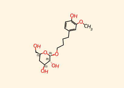 COc1cc(CCCCO[C@@H]2O[C@H](CO)C[C@H](O)[C@H]2O)ccc1O